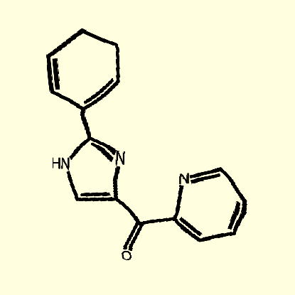 O=C(c1ccccn1)c1c[nH]c(C2=CCCC=C2)n1